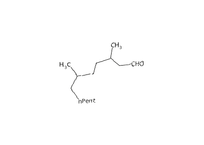 CCCCCCC(C)CCC(C)CC=O